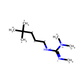 C/N=C(/NCCCC(C)(C)C)N(C)C